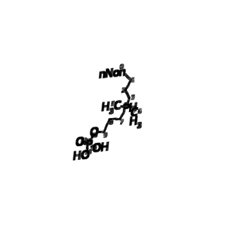 CCCCCCCCCCCC[PH](C)(C)CCCOP(=O)(O)O